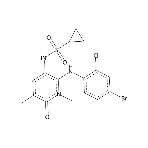 Cc1cc(NS(=O)(=O)C2CC2)c(Nc2ccc(Br)cc2Cl)n(C)c1=O